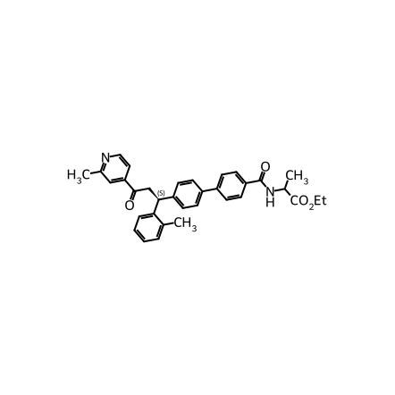 CCOC(=O)C(C)NC(=O)c1ccc(-c2ccc([C@H](CC(=O)c3ccnc(C)c3)c3ccccc3C)cc2)cc1